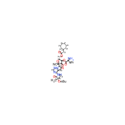 CCCCOC(C)(C)C(=O)Nc1ncnn2c([C@]3(C#N)O[C@H](COC(=O)CC4CCCCCC4)[C@@H](OC(=O)[C@@H](N)C(C)C)[C@H]3O)ccc12